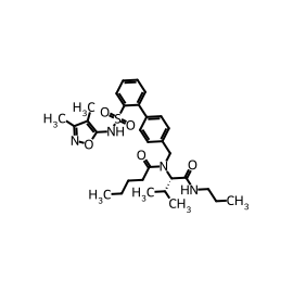 CCCCC(=O)N(Cc1ccc(-c2ccccc2S(=O)(=O)Nc2onc(C)c2C)cc1)[C@H](C(=O)NCCC)C(C)C